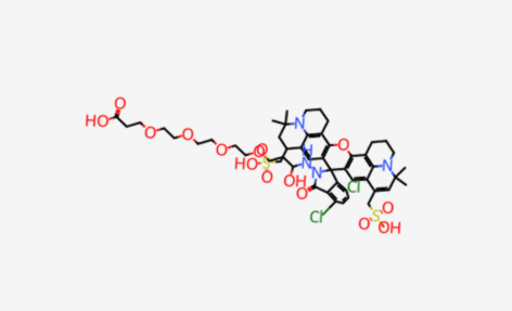 CC1(C)C=C(CS(=O)(=O)O)c2cc3c(c4c2N1CCC4)Oc1c(cc2c4c1CCCN4C(C)(C)CC2CS(=O)(=O)O)C31c2c(Cl)ccc(Cl)c2C(=O)N1NC(O)CCOCCOCCOCCOCCC(=O)O